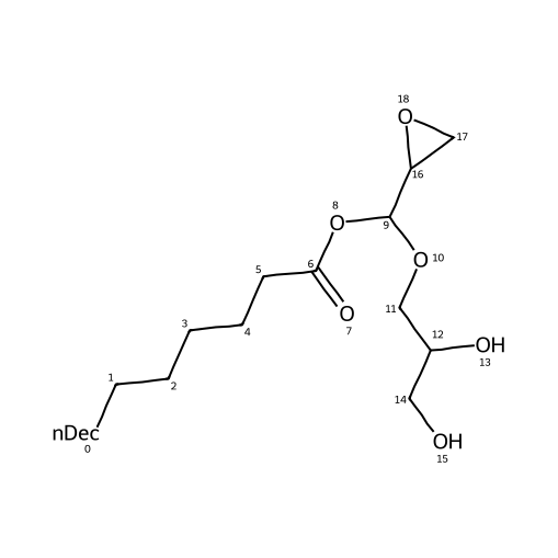 CCCCCCCCCCCCCCCC(=O)OC(OCC(O)CO)C1CO1